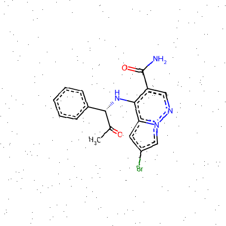 CC(=O)[C@@H](Nc1c(C(N)=O)cnn2cc(Br)cc12)c1ccccc1